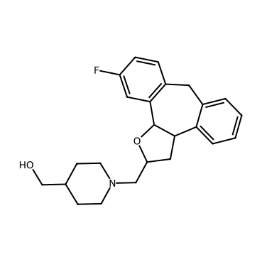 OCC1CCN(CC2CC3c4ccccc4Cc4ccc(F)cc4C3O2)CC1